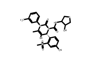 [C-]#[N+]C1=C(C)N(c2cccc(C(F)(F)F)c2)C(=O)N(C(=O)NC2CSCC2O)[C@@H]1c1ccc(C#N)cc1S(C)(=O)=O